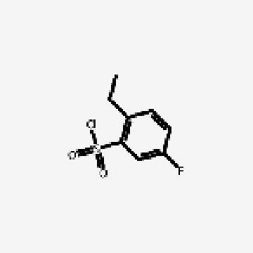 CCc1ccc(F)cc1S(=O)(=O)Cl